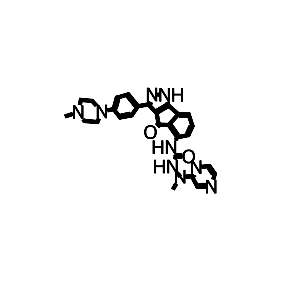 CN1CCN(c2ccc(-c3n[nH]c4c3C(=O)c3c(NC(=O)NN(C)c5cnccn5)cccc3-4)cc2)CC1